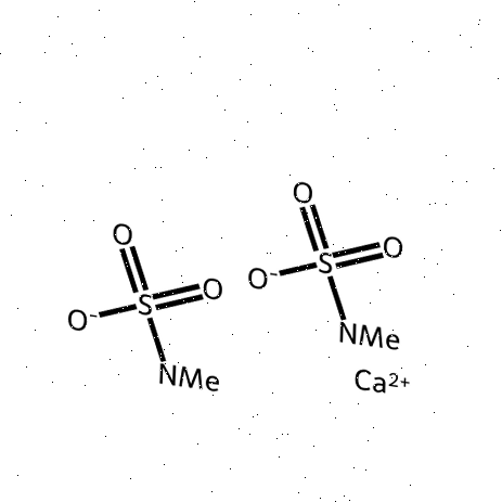 CNS(=O)(=O)[O-].CNS(=O)(=O)[O-].[Ca+2]